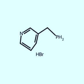 Br.PCc1cccnc1